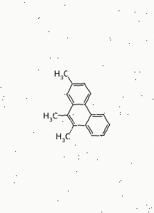 Cc1ccc2c(c1)c(C)c(C)c1ccccc12